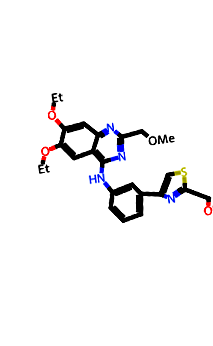 CCOc1cc2nc(COC)nc(Nc3cccc(-c4csc(CO)n4)c3)c2cc1OCC